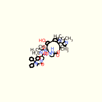 CCn1c(-c2cccnc2C(C)C)c2c3cc(ccc31)-c1cc(O)cc(c1)C[C@H](NC(=O)[C@H](C(C)C)N(C)C(=O)C1CCN(C(=O)[C@H]3CN3C(c3ccccc3)(c3ccccc3)c3ccccc3)CC1)C(=O)N1CCC[C@H](N1)C(=O)OCC(C)(C)C2